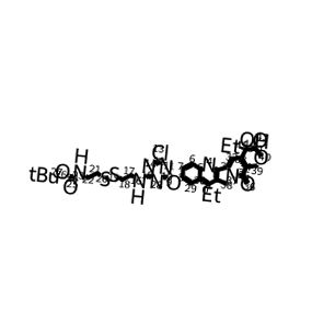 CCc1c2c(nc3ccc(Oc4nc(Cl)nc(NCCSSCCNC(=O)OC(C)(C)C)n4)cc13)-c1cc3c(c(=O)n1C2)COC(=O)[C@]3(O)CC